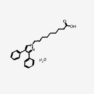 O.O=C(O)CCCCCCCCn1cc(-c2ccccc2)c(-c2ccccc2)n1